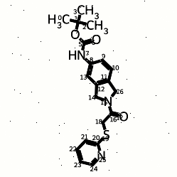 CC(C)(C)OC(=O)Nc1ccc2c(c1)CN(C(=O)CSc1ccccn1)C2